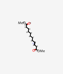 COC(=O)C/C=C/CCCCCCCC(=O)OC